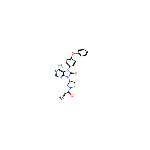 C=CC(=O)N1CC[C@H](n2c(=O)n(-c3ccc(Oc4ccccc4)cc3)c3c(N)ncnc32)C1